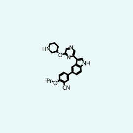 CC(C)Oc1ccc(-c2ccc3[nH]cc(-c4cncc(O[C@@H]5CCCNC5)n4)c3c2)cc1C#N